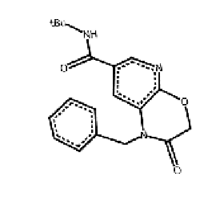 CC(C)(C)NC(=O)c1cnc2c(c1)N(Cc1ccccc1)C(=O)CO2